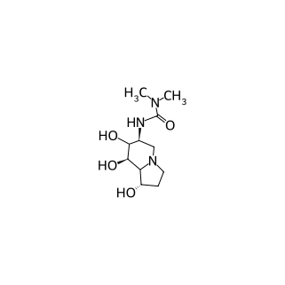 CN(C)C(=O)N[C@H]1CN2CC[C@H](O)C2[C@@H](O)C1O